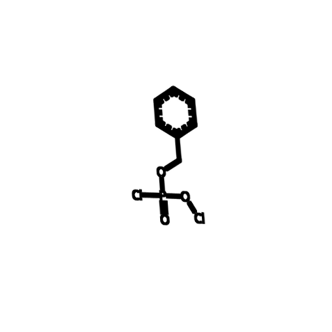 O=P(Cl)(OCl)OCc1ccccc1